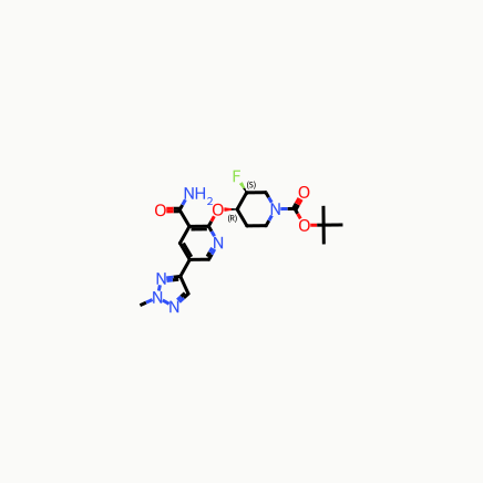 Cn1ncc(-c2cnc(O[C@@H]3CCN(C(=O)OC(C)(C)C)C[C@@H]3F)c(C(N)=O)c2)n1